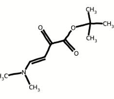 CN(C)C=CC(=O)C(=O)OC(C)(C)C